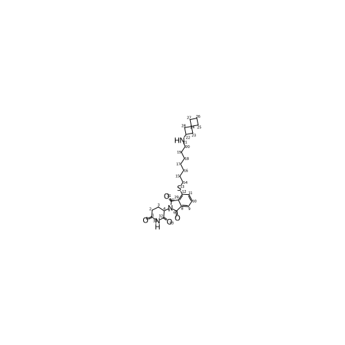 O=C1CCC(N2C(=O)c3cccc(SCCCCCCCNC4CC5(CCC5)C4)c3C2=O)C(=O)N1